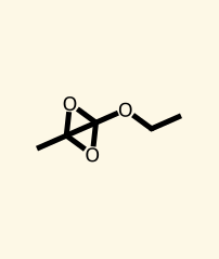 CCOC12OC1(C)O2